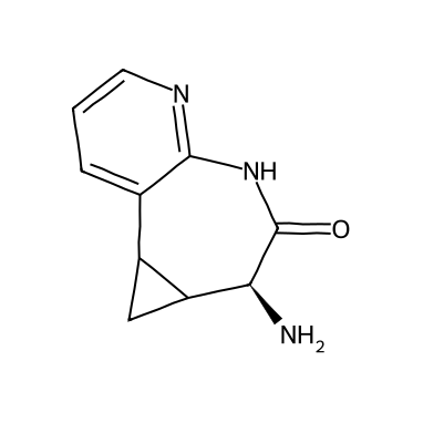 N[C@@H]1C(=O)Nc2ncccc2C2CC21